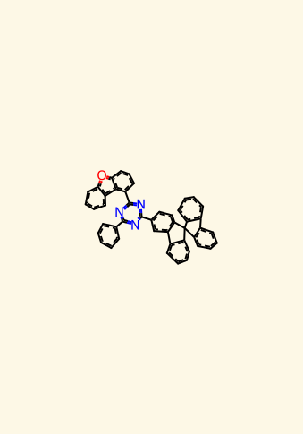 c1ccc(-c2nc(-c3ccc4c(c3)-c3ccccc3C43c4ccccc4-c4ccccc43)nc(-c3cccc4oc5ccccc5c34)n2)cc1